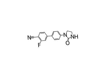 N#Cc1ccc(-c2ccc(N3CCNC3=O)cc2)cc1F